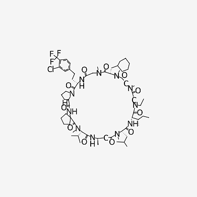 CC[C@H](C)[C@@H]1NC(=O)[C@H](CC(C)C)N(C)C(=O)C[C@@H](C)NC(=O)[C@H](C(C)C)N(C)C(=O)C2(CCCC2)NC(=O)[C@@H]2CCCN2C(=O)[C@H](CCc2ccc(C(F)(F)F)c(Cl)c2)NC(=O)CN(C)C(=O)[C@H](CC2CCCCC2)N(C)C(=O)CN(C)C(=O)CN(CC)C1=O